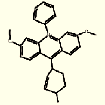 COc1ccc2c(C3C=CC(C)CC3)c3ccc(OC)cc3[n+](-c3ccccc3)c2c1